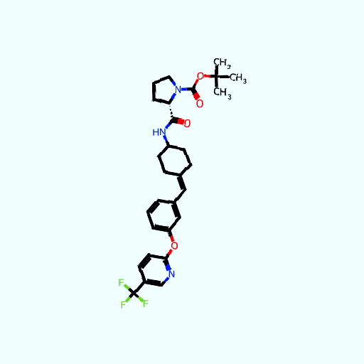 CC(C)(C)OC(=O)N1CCC[C@H]1C(=O)NC1CCC(=Cc2cccc(Oc3ccc(C(F)(F)F)cn3)c2)CC1